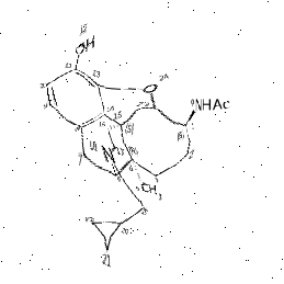 CC(=O)N[C@H]1CC[C@@]2(C)C3Cc4ccc(O)c5c4[C@@]2(CCN3CC2CC2)C1O5